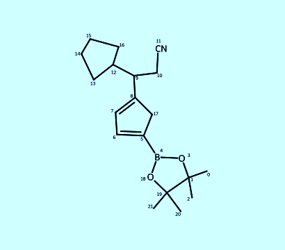 CC1(C)OB(C2=CC=C(C(CC#N)C3CCCC3)C2)OC1(C)C